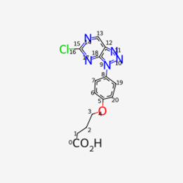 O=C(O)CCCOc1ccc(-n2nnc3cnc(Cl)nc32)cc1